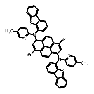 Cc1ccc(N(c2cc(C(C)C)c3c4c5c(ccc24)C(C(C)C)=CC(N(c2ccc(C)cn2)c2cccc4c2sc2ccccc24)C5=CC3)c2cccc3c2sc2ccccc23)nc1